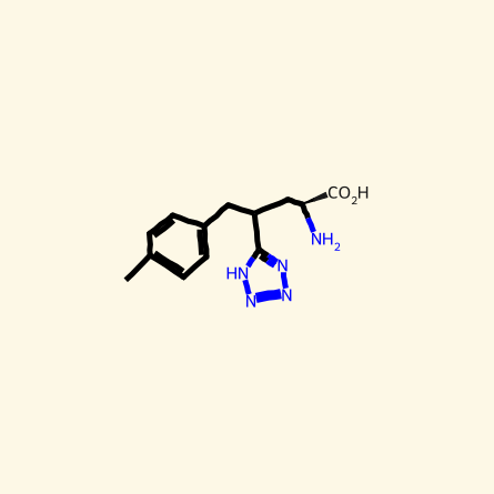 Cc1ccc(CC(C[C@H](N)C(=O)O)c2nnn[nH]2)cc1